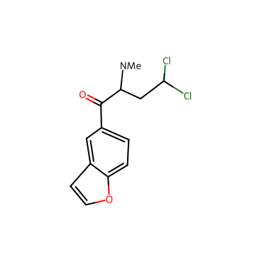 CNC(CC(Cl)Cl)C(=O)c1ccc2occc2c1